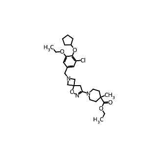 CCOC(=O)C1(C)CCN(C2=NOC3(C2)CN(Cc2cc(Cl)c(OC4CCCC4)c(OCC)c2)C3)CC1